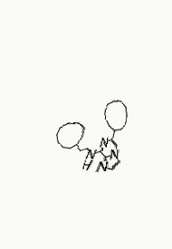 c1cn2cc(C3CCCCCCCCCC3)nc(NCCC3CCCCCCCCC3)c2n1